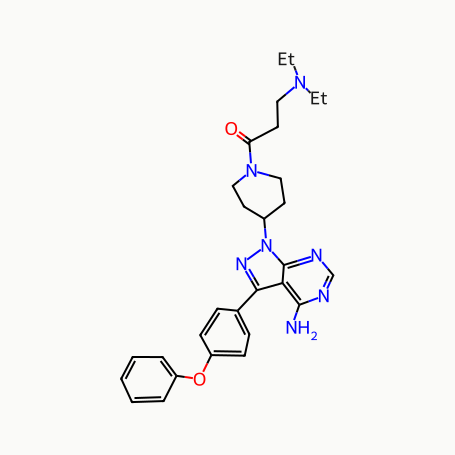 CCN(CC)CCC(=O)N1CCC(n2nc(-c3ccc(Oc4ccccc4)cc3)c3c(N)ncnc32)CC1